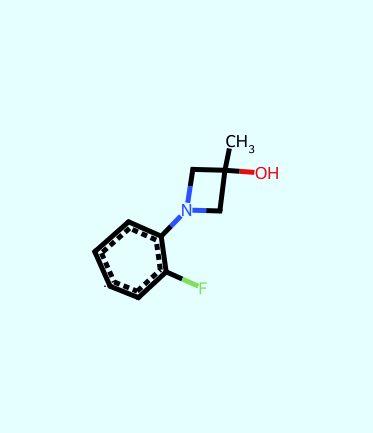 CC1(O)CN(c2cc[c]cc2F)C1